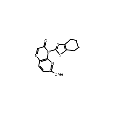 COc1ccc2ncc(=O)n(-c3nc4c(s3)C[CH]CC4)c2n1